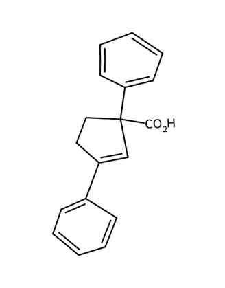 O=C(O)C1(c2ccccc2)C=C(c2ccccc2)CC1